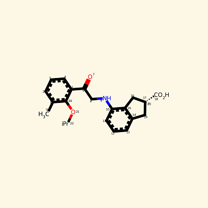 Cc1cccc(C(=O)CNc2cccc3c2C[C@H](C(=O)O)C3)c1OC(C)C